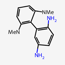 CNc1cccc(NC)c1-c1cc(N)ccc1N